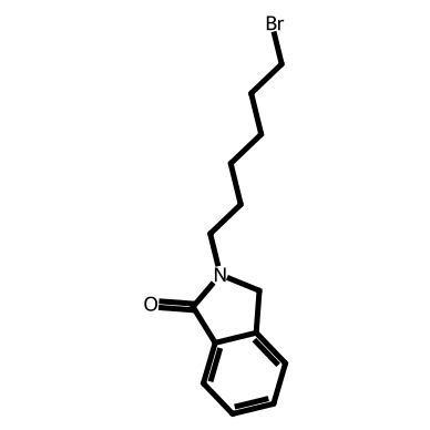 O=C1c2ccccc2CN1CCCCCCBr